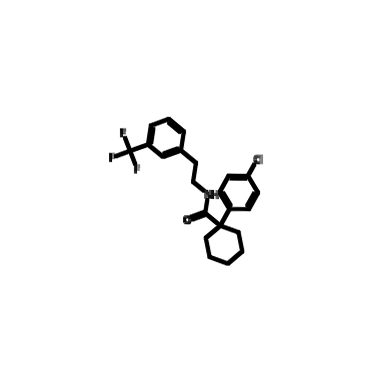 O=C(NCCc1cccc(C(F)(F)F)c1)C1(c2ccc(Cl)cc2)CCCCC1